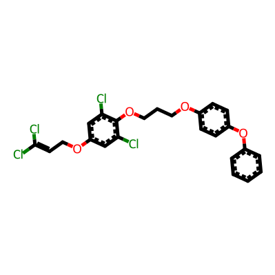 ClC(Cl)=CCOc1cc(Cl)c(OCCCOc2ccc(Oc3ccccc3)cc2)c(Cl)c1